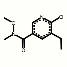 CCc1cc(C(=O)N(C)OC)cnc1Cl